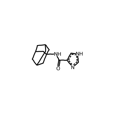 O=C(NC12CC3CC(CC(C3)C1)C2)c1c[nH]cn1